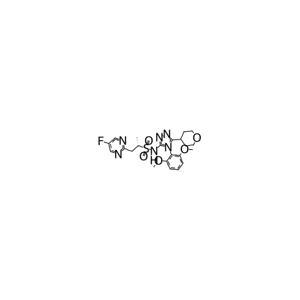 COc1cccc(OC)c1-n1c(NS(=O)(=O)[C@@H](C)Cc2ncc(F)cn2)nnc1C1CCOCC1